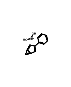 OBO.c1ccc(-c2cc3cc-3c2)cc1